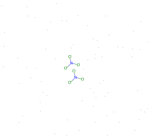 ClN(Cl)Cl.ClN(Cl)Cl